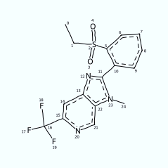 CCS(=O)(=O)c1ccccc1-c1nc2cc(C(F)(F)F)ncc2n1C